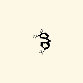 CCc1ccc(Cc2ccc([N+](=O)[O-])cc2)cc1[N+](=O)[O-]